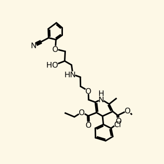 CCOC(=O)C1=C(COCCNCC(O)COc2ccccc2C#N)NC(C)=C(C(=O)OC)C1c1ccccc1Cl